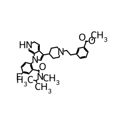 COC(=O)c1cccc(CCN2CCC(c3cn(-c4ccc(F)cc4C(=O)N(C)C(C)C)c4c3=CCNC=4)CC2)c1